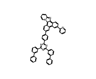 c1ccc(-c2cccc(-c3nc(-c4ccc(-c5ccc6c(c5)c5cc(-c7ccccn7)ccc5c5nc7ccccn7c65)cc4)nc(-c4cccc(-c5ccccc5)c4)n3)c2)cc1